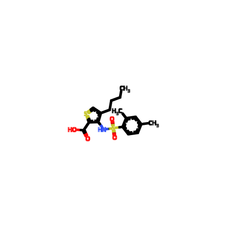 CCCCc1csc(C(=O)O)c1NS(=O)(=O)c1ccc(C)cc1C